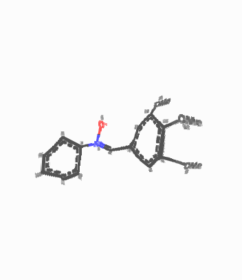 COc1cc(C=[N+]([O-])c2ccccc2)cc(OC)c1OC